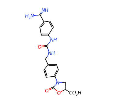 N=C(N)c1ccc(NC(=O)NCc2ccc(N3CC(C(=O)O)OC3=O)cc2)cc1